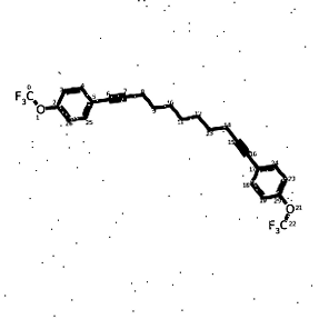 FC(F)(F)Oc1ccc(C#CCCCCCCCC#Cc2ccc(OC(F)(F)F)cc2)cc1